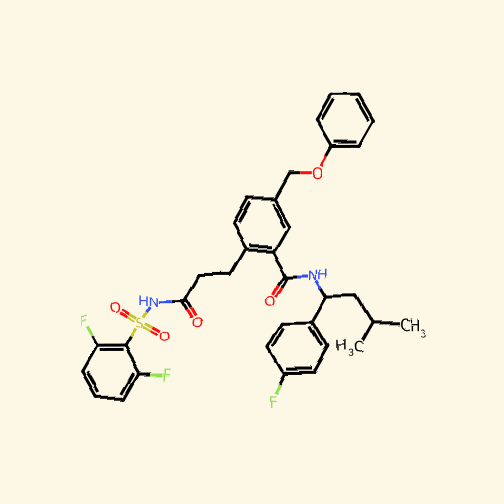 CC(C)CC(NC(=O)c1cc(COc2ccccc2)ccc1CCC(=O)NS(=O)(=O)c1c(F)cccc1F)c1ccc(F)cc1